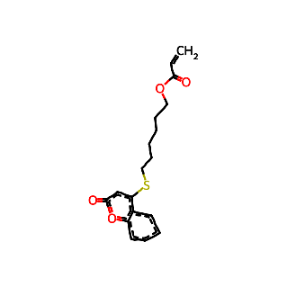 C=CC(=O)OCCCCCCSc1cc(=O)oc2ccccc12